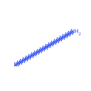 C/N=N/N=N/N=N/N=N/N=N/N=N/N=N/N=N/N=N/N=N/N=N/N=N/N=N/N=N/N=N/N=N/N=N/N=N/N=N/N=N/N